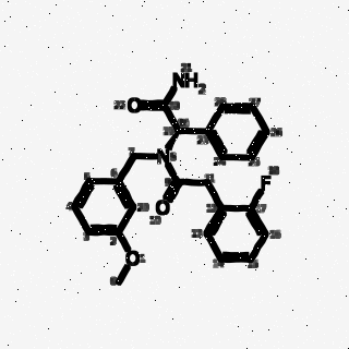 COc1cccc(CN(C(=O)Cc2ccccc2F)[C@@H](C(N)=O)c2ccccc2)c1